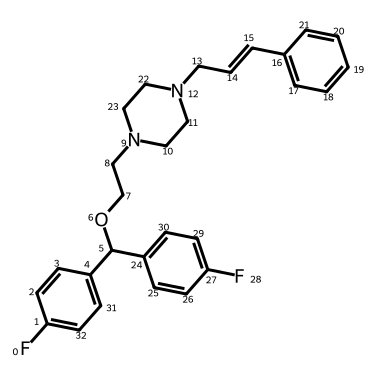 Fc1ccc(C(OCCN2CCN(CC=Cc3ccccc3)CC2)c2ccc(F)cc2)cc1